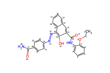 CCOc1ccccc1NC(=O)c1cc2ccccc2c(/N=N/c2ccc(C(N)=O)cc2)c1O